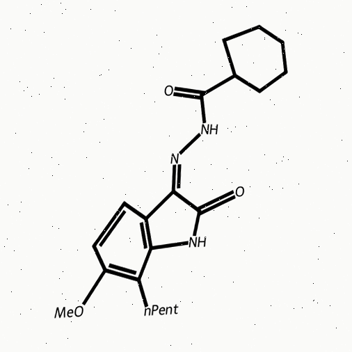 CCCCCc1c(OC)ccc2c1NC(=O)/C2=N\NC(=O)C1CCCCC1